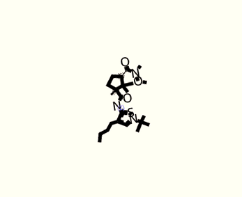 CCCCc1cn(C(C)(C)C)s/c1=N\C(=O)[C@]1(C)CC[C@H](C(=O)N(C)OC)C1(C)C